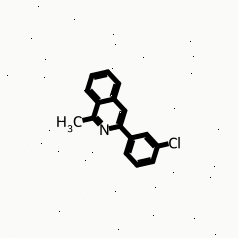 Cc1nc(-c2cccc(Cl)c2)cc2ccccc12